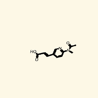 CC(=O)N(C)c1ccc(/C=C/C(=O)O)cn1